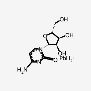 Nc1ccn([C@@H]2O[C@H](CO)[C@@H](O)[C@H]2O)c(=O)n1.[PbH2]